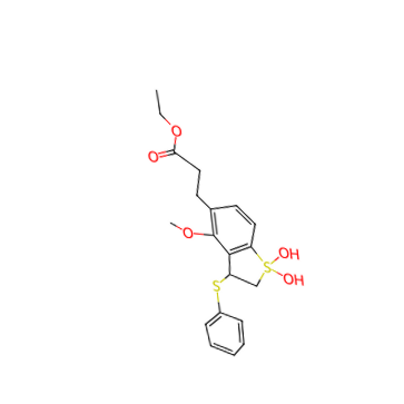 CCOC(=O)CCc1ccc2c(c1OC)C(Sc1ccccc1)CS2(O)O